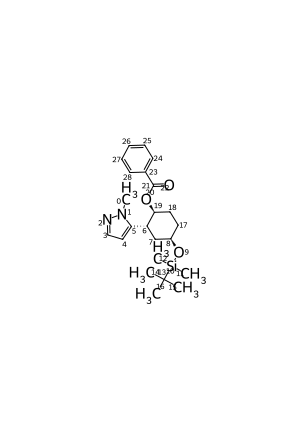 Cn1nccc1[C@H]1C[C@H](O[Si](C)(C)C(C)(C)C)CC[C@@H]1OC(=O)c1ccccc1